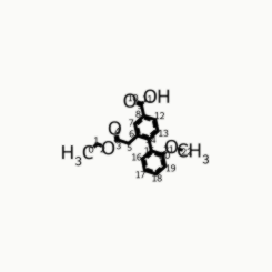 CCOC(=O)Cc1cc(C(=O)O)ccc1-c1ccccc1OC